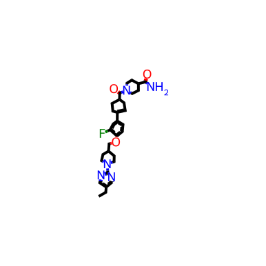 CCc1cnc(N2CCC(COc3ccc(C4=CCC(C(=O)N5CCC(C(N)=O)CC5)CC4)cc3F)CC2)nc1